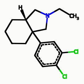 CCN1C[C@H]2CCCCC2(c2ccc(Cl)c(Cl)c2)C1